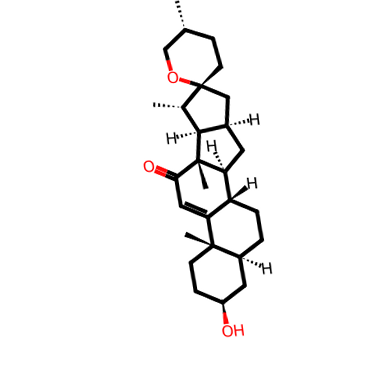 C[C@@H]1CC[C@]2(C[C@H]3C[C@H]4[C@@H]5CC[C@H]6C[C@@H](O)CC[C@]6(C)C5=CC(=O)[C@]4(C)[C@H]3[C@@H]2C)OC1